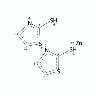 Sc1nccs1.Sc1nccs1.[Zn]